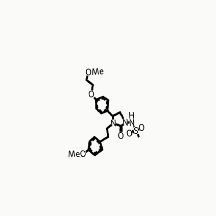 COCCOc1ccc(C2CN(NS(C)(=O)=O)C(=O)N2CCc2ccc(OC)cc2)cc1